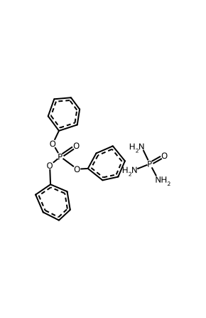 NP(N)(N)=O.O=P(Oc1ccccc1)(Oc1ccccc1)Oc1ccccc1